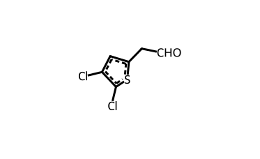 O=CCc1cc(Cl)c(Cl)s1